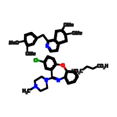 CN1CCN(C2=Nc3ccccc3Oc3ccc(Cl)cc32)CC1.COc1ccc(Cc2nccc3cc(OC)c(OC)cc23)cc1OC.O=C(O)CCC(=O)O